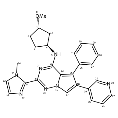 CO[C@H]1CC[C@H](Nc2nc(-c3nccn3C)nn3cc(-c4cccnc4)c(-c4ccccc4)c23)C1